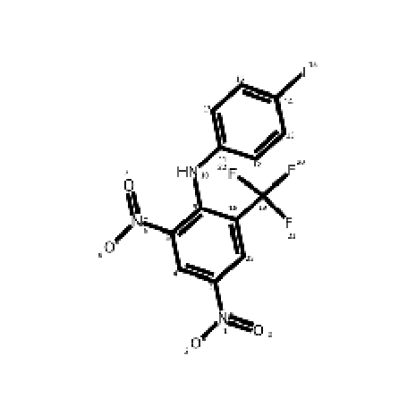 O=[N+]([O-])c1cc([N+](=O)[O-])c(Nc2ccc(I)cc2)c(C(F)(F)F)c1